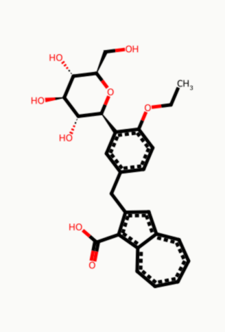 CCOc1ccc(Cc2cc3cccccc-3c2C(=O)O)cc1[C@@H]1O[C@H](CO)[C@@H](O)[C@H](O)[C@H]1O